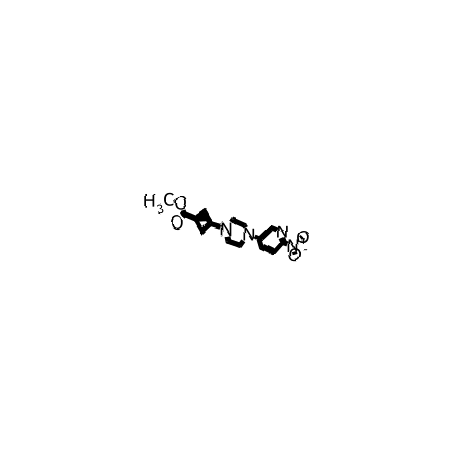 COC(=O)C12CC(N3CCN(c4ccc([N+](=O)[O-])nc4)CC3)(C1)C2